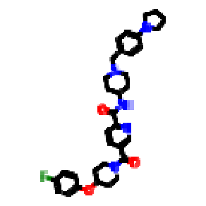 O=C(NC1CCN(Cc2ccc(N3CCCC3)cc2)CC1)c1ccc(C(=O)N2CCC(Oc3ccc(F)cc3)CC2)cn1